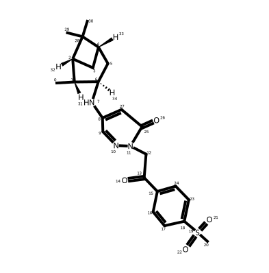 C[C@@H]1[C@H]2C[C@@H](C[C@H]1Nc1cnn(CC(=O)c3ccc(S(C)(=O)=O)cc3)c(=O)c1)C2(C)C